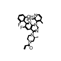 C=CC(=O)N1CCN(C2=NCN(c3c(C)ccnc3C(C)C)c3nc(-c4c(O)cccc4F)c(F)cc32)[C@@H](C)C1